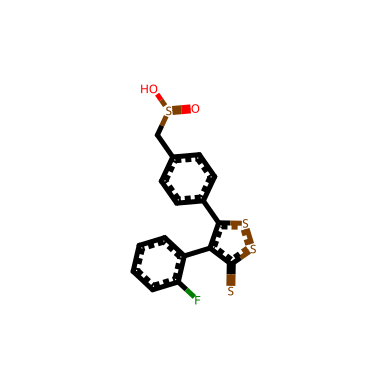 O=S(O)Cc1ccc(-c2ssc(=S)c2-c2ccccc2F)cc1